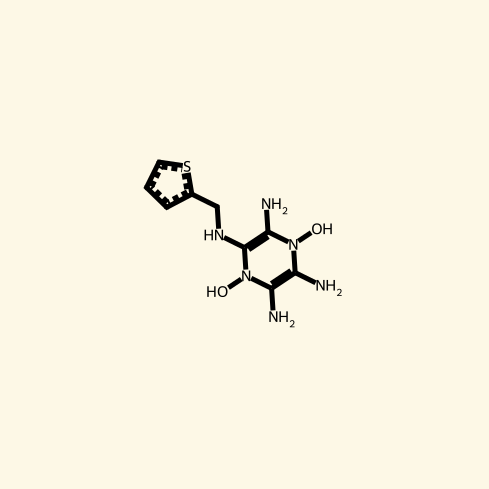 NC1=C(N)N(O)C(NCc2cccs2)=C(N)N1O